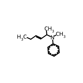 CC/C=C/C(C)N(C)c1ccccc1